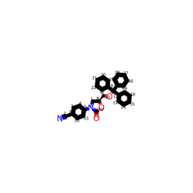 N#Cc1ccc(N2C[C@@H](COC(c3ccccc3)(c3ccccc3)c3ccccc3)OC2=O)cc1